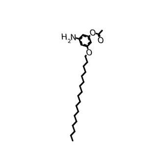 CCCCCCCCCCCCCCCCCCOc1cc(N)cc(OC(C)=O)c1